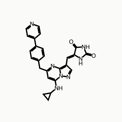 O=C1NC(=O)/C(=C/c2cnn3c(NC4CC4)cc(Cc4ccc(-c5ccncc5)cc4)nc23)N1